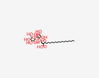 CCCCCCCCCCCCCCCCCC(=O)/C(=C\C(=O)O[C@H]1[C@H](O)[C@@H](CO)O[C@@]1(CO)O[C@H]1O[C@H](CO)[C@@H](O)[C@H](O)[C@H]1O)C(=O)O